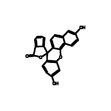 O=C1OC2(c3ccc(O)cc3Oc3c2ccc2cc(O)ccc32)c2ccccc21